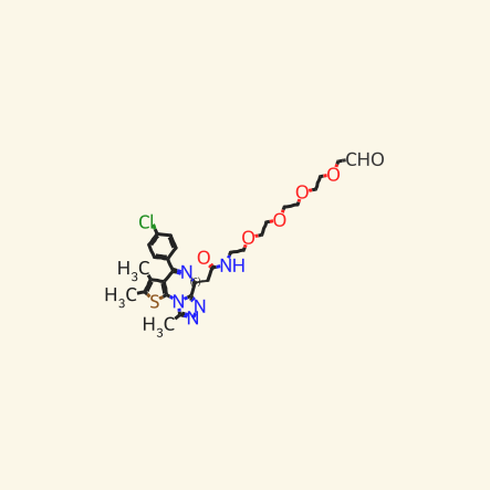 Cc1sc2c(c1C)C(c1ccc(Cl)cc1)=N[C@@H](CC(=O)NCCOCCOCCOCCOCC=O)c1nnc(C)n1-2